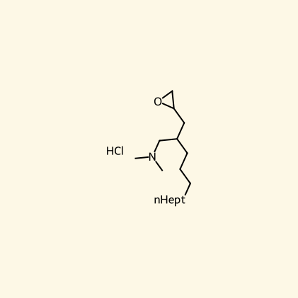 CCCCCCCCCCC(CC1CO1)CN(C)C.Cl